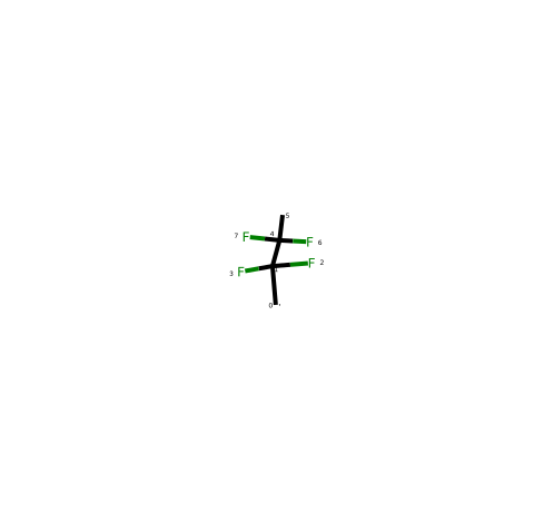 [CH2]C(F)(F)C(C)(F)F